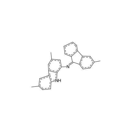 Cc1ccc2c(c1)-c1ccccc1C2=Nc1cc(C)cc2c1[nH]c1ccc(C)cc12